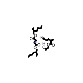 C=C(C=CC#N)C(=O)OCC(C)O.CCCCC(CC)COC(=O)/C=C/C(=O)OCC(CC)CCCC